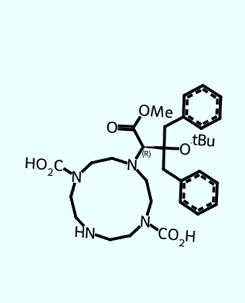 COC(=O)[C@H](N1CCN(C(=O)O)CCNCCN(C(=O)O)CC1)C(Cc1ccccc1)(Cc1ccccc1)OC(C)(C)C